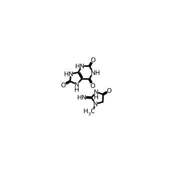 CN1CC(=O)NC1=N.O=c1[nH]c(=O)c2[nH]c(=O)[nH]c2[nH]1